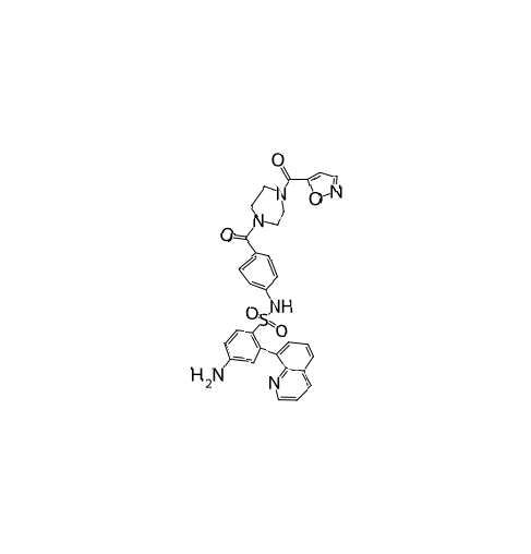 Nc1ccc(S(=O)(=O)Nc2ccc(C(=O)N3CCN(C(=O)c4ccno4)CC3)cc2)c(-c2cccc3cccnc23)c1